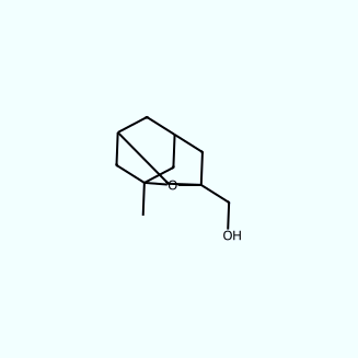 CC12CC3CC(C1)CC(CO)(C3)O2